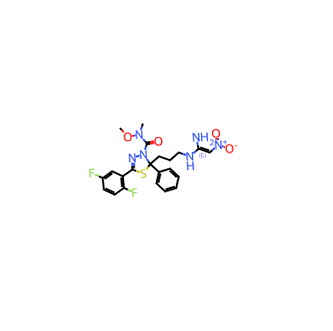 CON(C)C(=O)N1N=C(c2cc(F)ccc2F)SC1(CCCN/C(N)=C/[N+](=O)[O-])c1ccccc1